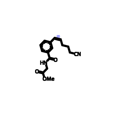 COC(=O)CNC(=O)c1cccc(/C=C\CCCC#N)c1